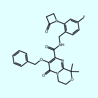 CC1(C)OCCn2c1nc(C(=O)NCc1ccc(F)cc1N1CCC1=O)c(OCc1ccccc1)c2=O